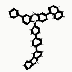 c1ccc(-c2ccc3c(c2)Oc2cc(-c4cccc5ccccc45)ccc2N3c2ccc(-c3ccc(-c4ccc5sc6ccccc6c5c4)cc3)cc2)cc1